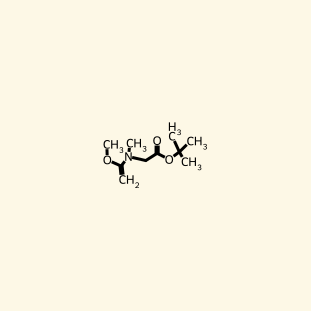 C=C(OC)N(C)CC(=O)OC(C)(C)C